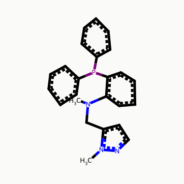 CN(Cc1ccnn1C)c1ccccc1P(c1ccccc1)c1ccccc1